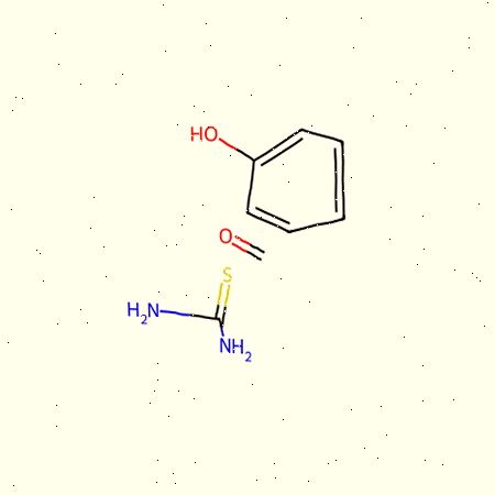 C=O.NC(N)=S.Oc1ccccc1